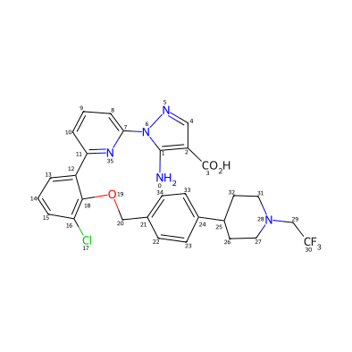 Nc1c(C(=O)O)cnn1-c1cccc(-c2cccc(Cl)c2OCc2ccc(C3CCN(CC(F)(F)F)CC3)cc2)n1